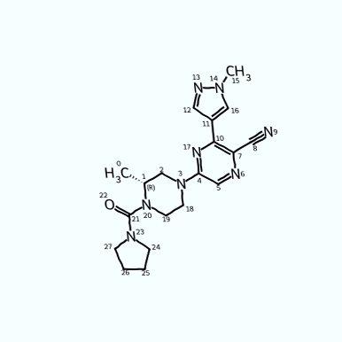 C[C@@H]1CN(c2cnc(C#N)c(-c3cnn(C)c3)n2)CCN1C(=O)N1CCCC1